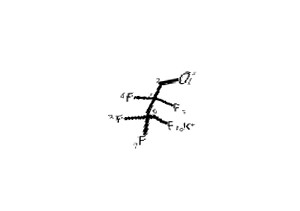 [K+].[O-]CC(F)(F)C(F)(F)F